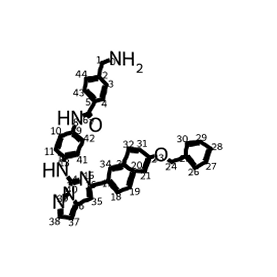 NCc1ccc(C(=O)Nc2ccc(Nc3nc(-c4ccc5cc(OCc6ccccc6)ccc5c4)cc4ccnn34)cc2)cc1